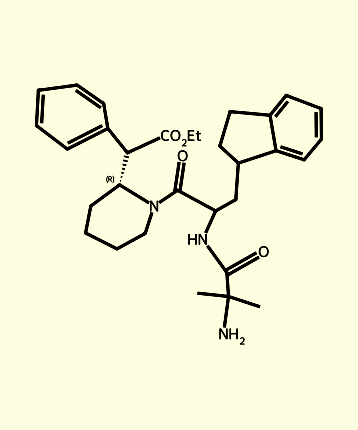 CCOC(=O)C(c1ccccc1)[C@H]1CCCCN1C(=O)C(CC1CCc2ccccc21)NC(=O)C(C)(C)N